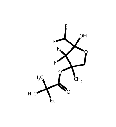 CCC(C)(C)C(=O)OC1(C)COC(O)(C(F)F)C1(F)F